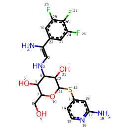 N/C(=C\NC1C(O)C(CO)OC(Sc2ccnc(N)c2)C1O)c1cc(F)c(F)c(F)c1